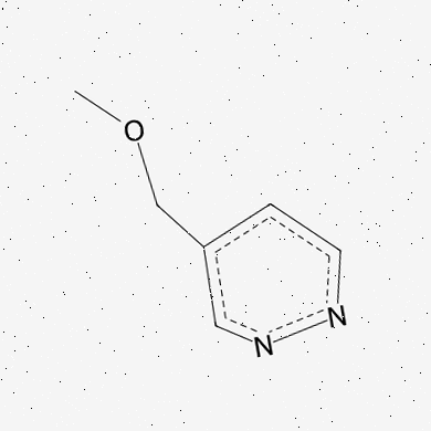 COCc1ccnnc1